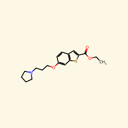 CCOC(=O)c1cc2ccc(OCCCN3CCCC3)cc2s1